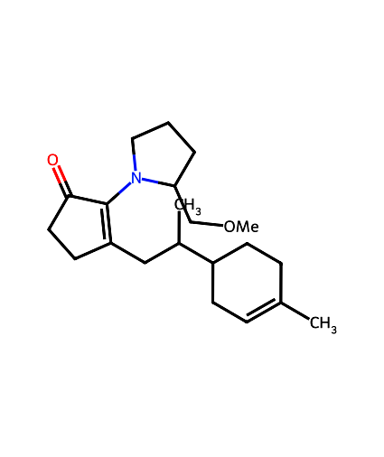 COCC1CCCN1C1=C(CC(C)C2CC=C(C)CC2)CCC1=O